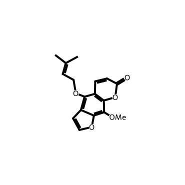 COc1c2occc2c(OCC=C(C)C)c2ccc(=O)oc12